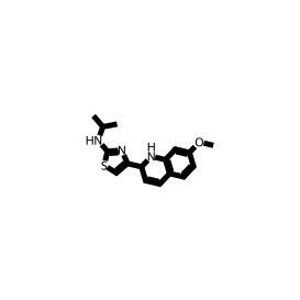 COc1ccc2c(c1)N[C](c1csc(NC(C)C)n1)C=C2